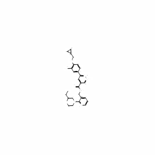 CCC1CN(c2ncccc2CNC(=O)c2cnnc(-c3ccc(OCC4CC4)c(Cl)c3)c2)CCO1